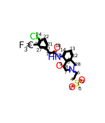 CS(=O)(=O)CCN1CC(=O)c2c(cccc2NC(=O)Cc2ccc(Cl)c(C(F)(F)F)c2)C1